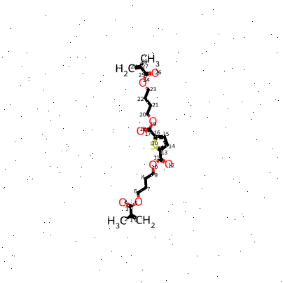 C=C(C)C(=O)OCCCCOC(=O)c1ccc(C(=O)OCCCCOC(=O)C(=C)C)s1